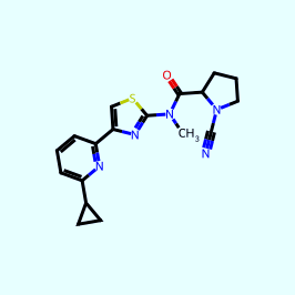 CN(C(=O)C1CCCN1C#N)c1nc(-c2cccc(C3CC3)n2)cs1